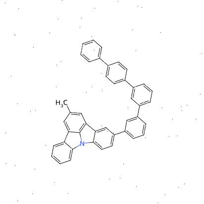 Cc1cc2c3ccccc3n3c4ccc(-c5cccc(-c6cccc(-c7ccc(-c8ccccc8)cc7)c6)c5)cc4c(c1)c23